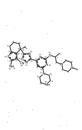 CC(CN1CCN(C)CC1)Oc1nc(-c2noc([C@@]3(C)CCCc4sc(N)c(C#N)c43)n2)cc(N2CCNCC2)n1